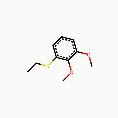 [CH2]CSc1cccc(OC)c1OC